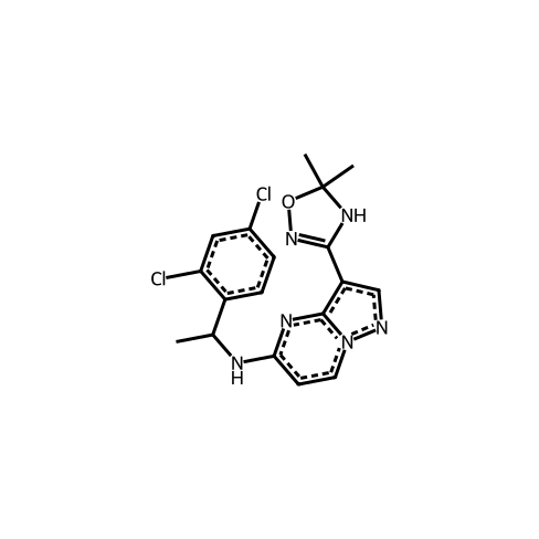 CC(Nc1ccn2ncc(C3=NOC(C)(C)N3)c2n1)c1ccc(Cl)cc1Cl